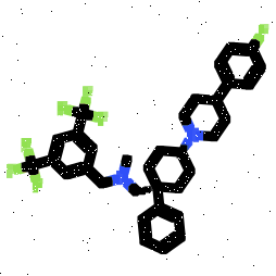 CN(Cc1cc(C(F)(F)F)cc(C(F)(F)F)c1)C[C@]1(c2ccccc2)CC[C@@H](N2CCC(c3ccc(F)cc3)CC2)CC1